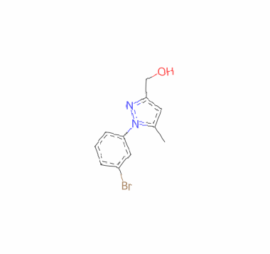 Cc1cc(CO)nn1-c1cccc(Br)c1